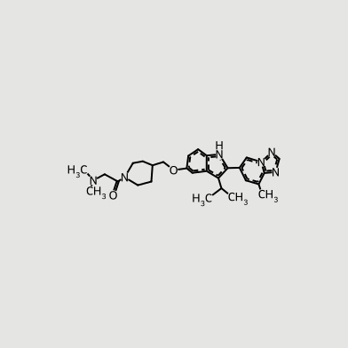 Cc1cc(-c2[nH]c3ccc(OCC4CCN(C(=O)CN(C)C)CC4)cc3c2C(C)C)cn2ncnc12